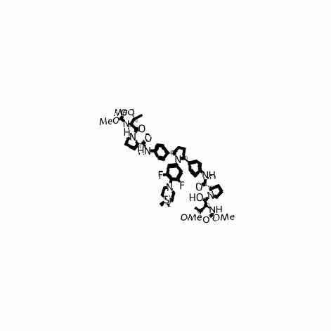 COC(=O)N[C@H](C(=O)N1CCC[C@H]1C(=O)Nc1ccc([C@@H]2CC[C@@H](c3ccc(NC(=O)[C@@H]4CCCN4C(O)[C@@H](NC(=O)OC)[C@@H](C)OC)cc3)N2c2cc(F)c(N3CC[Si](C)(C)CC3)c(F)c2)cc1)[C@@H](C)OC